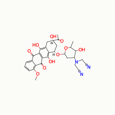 COc1cccc2c1C(=O)c1c(O)c3c(c(O)c1C2=O)C[C@@](O)(C(C)=O)C[C@@H]3OC1CC(N(CC#N)CC#N)C(O)C(C)O1